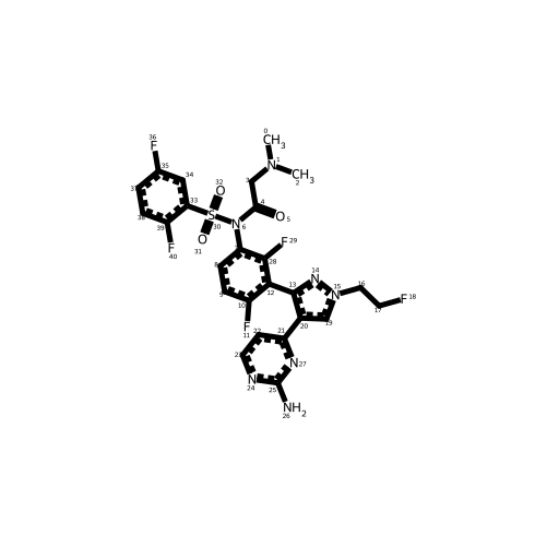 CN(C)CC(=O)N(c1ccc(F)c(-c2nn(CCF)cc2-c2ccnc(N)n2)c1F)S(=O)(=O)c1cc(F)ccc1F